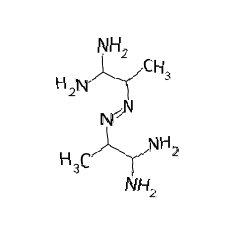 CC(/N=N/C(C)C(N)N)C(N)N